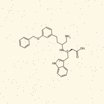 NCC(CCc1cccc(OCc2ccccc2)c1)N[C@@H](CC(=O)O)Cc1c[nH]c2ccccc12